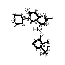 Cc1nc(NOc2cccc(C(F)(F)F)c2F)c2cn(C3CCOCC3)c(=O)cc2n1